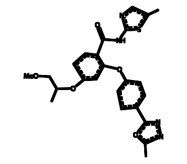 COCC(C)Oc1ccc(C(=O)Nc2ncc(C)s2)c(Oc2ccc(-c3nnc(C)o3)cc2)c1